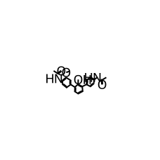 COc1cc(-c2cccc(-c3ccc(NC(C)=O)cc3)c2O)ccc1NC(C)=O